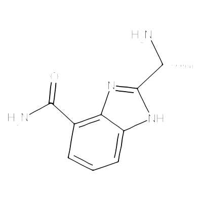 C[C@@H](N)c1nc2c(C(N)=O)cccc2[nH]1